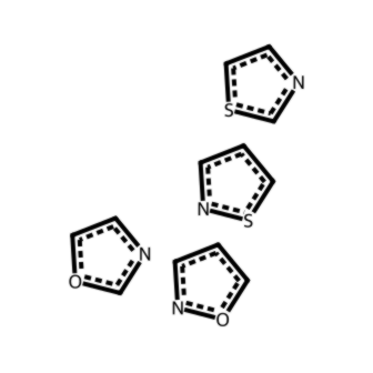 c1cnoc1.c1cnsc1.c1cocn1.c1cscn1